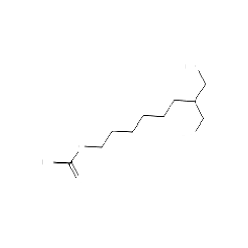 CCC(CC)CCCCCCOC(=O)O